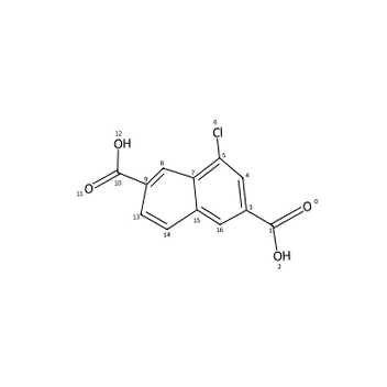 O=C(O)c1cc(Cl)c2cc(C(=O)O)ccc2c1